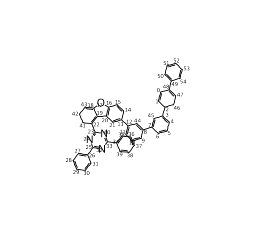 C1=CC(c2cccc(-c3cccc(-c4ccc5oc6c(c5c4)=C(c4nc(-c5ccccc5)nc(-c5ccccc5)n4)CCC=6)c3)c2)CC=C1c1ccccc1